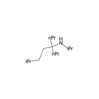 CCCC(CCC)(CCC(C)C)NC(C)C